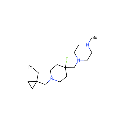 CCC(C)N1CCN(CC2(F)CCN(CC3(CC(C)C)CC3)CC2)CC1